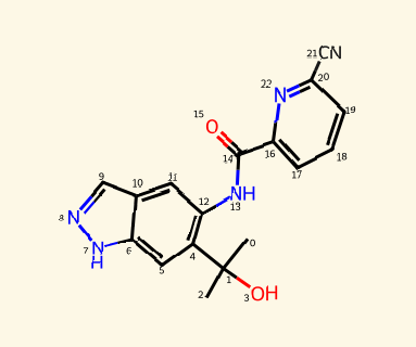 CC(C)(O)c1cc2[nH]ncc2cc1NC(=O)c1cccc(C#N)n1